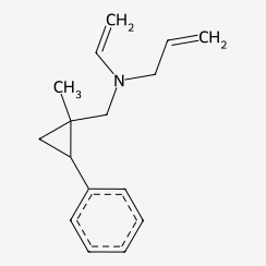 C=CCN(C=C)CC1(C)CC1c1ccccc1